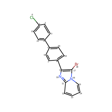 Clc1ccc(-c2ccc(-c3nc4ccccn4c3Br)cc2)cc1